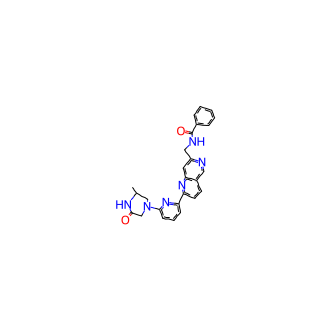 CC1CN(c2cccc(-c3ccc4cnc(CNC(=O)c5ccccc5)cc4n3)n2)CC(=O)N1